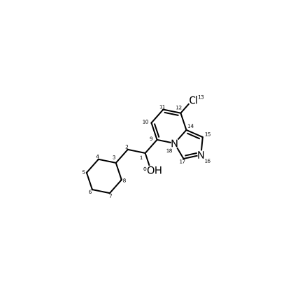 OC(CC1CCCCC1)c1ccc(Cl)c2cncn12